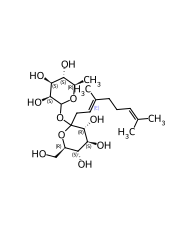 CC(C)=CCC/C(C)=C/CC1(OC2O[C@H](C)[C@@H](O)[C@H](O)[C@@H]2O)O[C@H](CO)[C@@H](O)[C@H](O)[C@H]1O